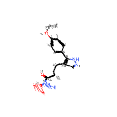 CCCCCOc1ccc(-c2[nH]ncc2CCC(=O)NO)cc1